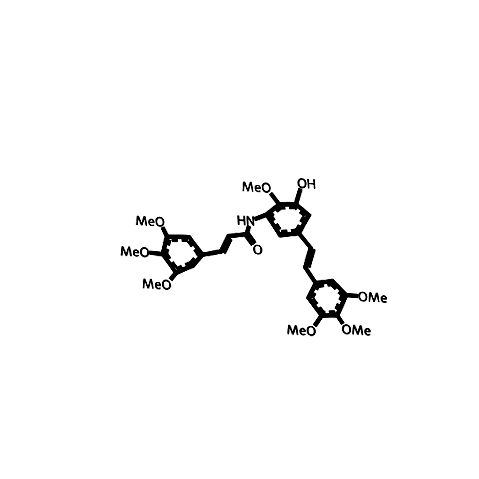 COc1cc(C=Cc2cc(O)c(OC)c(NC(=O)/C=C/c3cc(OC)c(OC)c(OC)c3)c2)cc(OC)c1OC